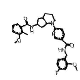 COc1cc(F)ccc1CNC(=O)c1ccc(N2CCCC3CC(NC(=O)c4cccc(OC)c4C)CC32)nc1